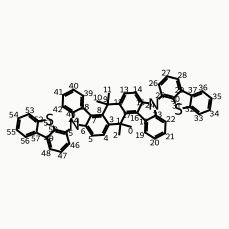 CC1(C)c2ccc3c(c2C(C)(C)c2ccc4c(c21)c1ccccc1n4-c1cccc2c1sc1ccccc12)c1ccccc1n3-c1cccc2c1sc1ccccc12